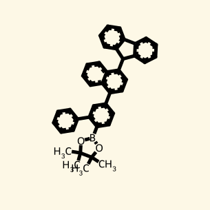 CC1(C)OB(c2ccc(-c3ccc(C4c5ccccc5-c5ccccc54)c4ccccc34)cc2-c2ccccc2)OC1(C)C